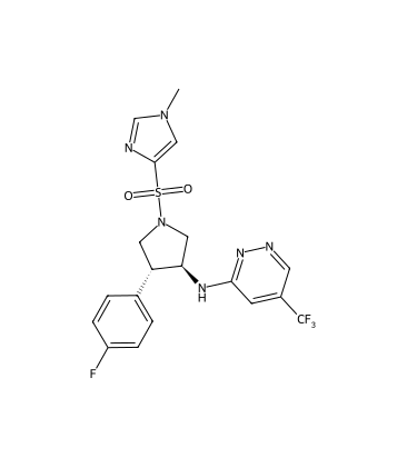 Cn1cnc(S(=O)(=O)N2C[C@@H](Nc3cc(C(F)(F)F)cnn3)[C@H](c3ccc(F)cc3)C2)c1